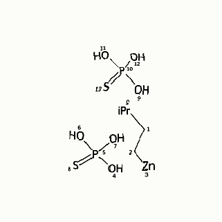 CC(C)C[CH2][Zn].OP(O)(O)=S.OP(O)(O)=S